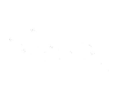 COc1cc(-c2cc(C)c3c(n2)CN(c2cnn(CC(F)F)c2)C3=O)cnc1OC